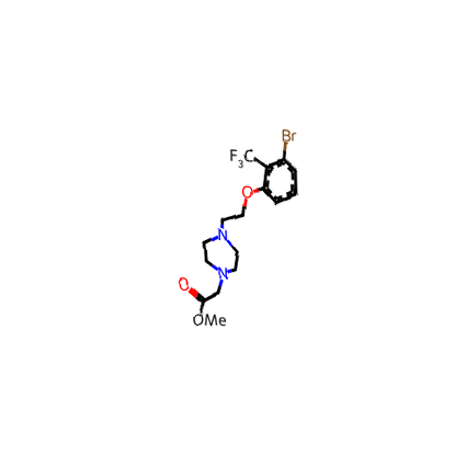 COC(=O)CN1CCN(CCOc2cccc(Br)c2C(F)(F)F)CC1